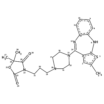 Cc1cc2c(s1)Nc1ccccc1N=C2N1CCN(CCCN2C(=O)OC(C)(C)C2=O)CC1